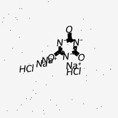 Cl.Cl.O=c1[n-]c(=O)[n-]c(=O)[n-]1.[Na+].[Na+].[Na+]